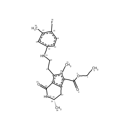 CCOC(=O)c1c2c(c(CCNc3ccc(F)c(C)c3)n1C)C(=O)N[C@@H](C)C2